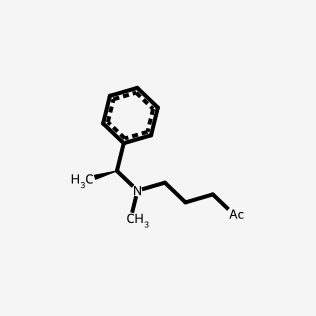 CC(=O)CCCN(C)[C@@H](C)c1ccccc1